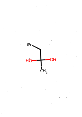 [CH2]C(C)CC(C)(O)O